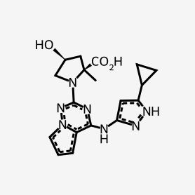 C[C@@]1(C(=O)O)C[C@H](O)CN1c1nc(Nc2cc(C3CC3)[nH]n2)c2cccn2n1